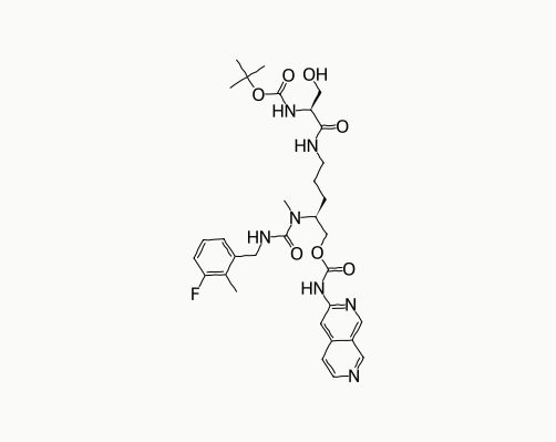 Cc1c(F)cccc1CNC(=O)N(C)[C@@H](CCCNC(=O)[C@H](CO)NC(=O)OC(C)(C)C)COC(=O)Nc1cc2ccncc2cn1